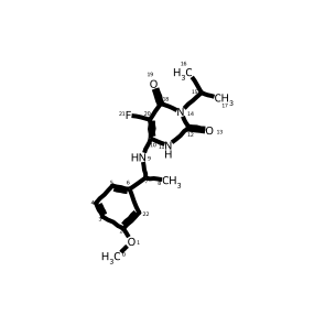 COc1cccc(C(C)Nc2[nH]c(=O)n(C(C)C)c(=O)c2F)c1